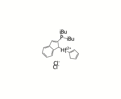 CCC(C)P(C1=Cc2ccccc2[CH]1[Hf+2][C]1=CC=CC1)C(C)CC.[Cl-].[Cl-]